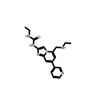 CCNCc1cc(-c2cccnc2)cc2nc(NC(=O)NCC)cn12